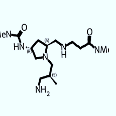 CNC(=O)CCNC[C@@H]1C[C@@H](NC(=O)NC)CN1C[C@@H](C)CN